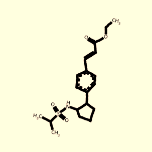 CCOC(=O)/C=C/c1ccc(C2CCCC2NS(=O)(=O)C(C)C)cc1